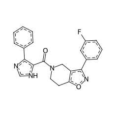 O=C(c1[nH]cnc1-c1ccccc1)N1CCc2onc(-c3cccc(F)c3)c2C1